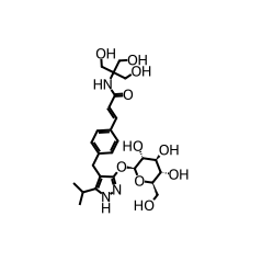 CC(C)c1[nH]nc(O[C@@H]2O[C@H](CO)[C@@H](O)[C@H](O)[C@H]2O)c1Cc1ccc(/C=C/C(=O)NC(CO)(CO)CO)cc1